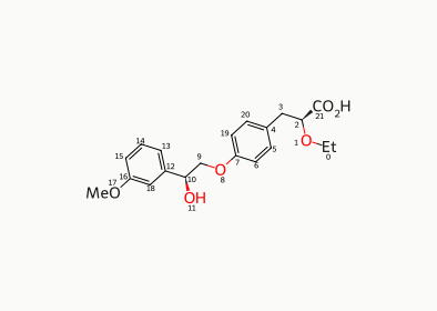 CCO[C@@H](Cc1ccc(OC[C@@H](O)c2cccc(OC)c2)cc1)C(=O)O